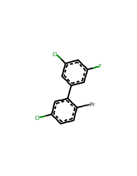 CC(C)c1ccc(Cl)cc1-c1cc(F)cc(Cl)c1